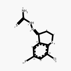 NC(=S)NN=C1CCSc2c(Cl)cc(F)cc21